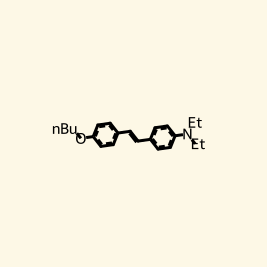 CCCCOc1ccc(/C=C/c2ccc(N(CC)CC)cc2)cc1